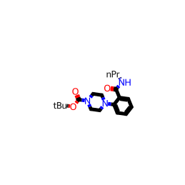 CCCNC(=O)c1ccccc1N1CCN(C(=O)OC(C)(C)C)CC1